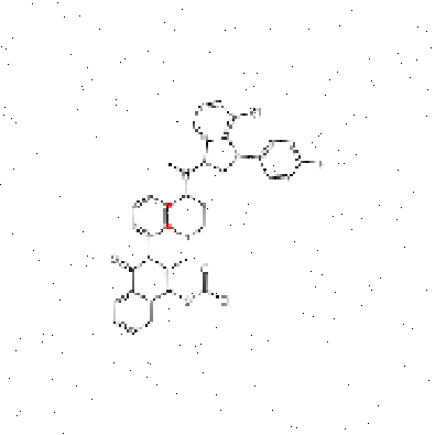 CN(C1CCN(Cc2c(OC(=O)O)c3ccccc3c(=O)n2-c2ccccc2)CC1)C1CC(c2ccc(F)cc2)c2c(Cl)cccc21